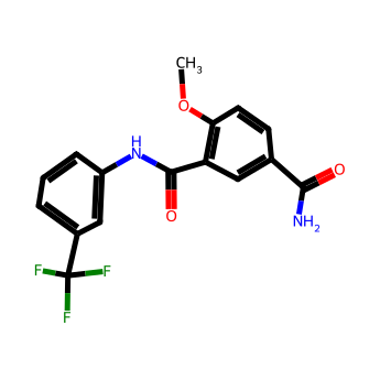 COc1ccc(C(N)=O)cc1C(=O)Nc1cccc(C(F)(F)F)c1